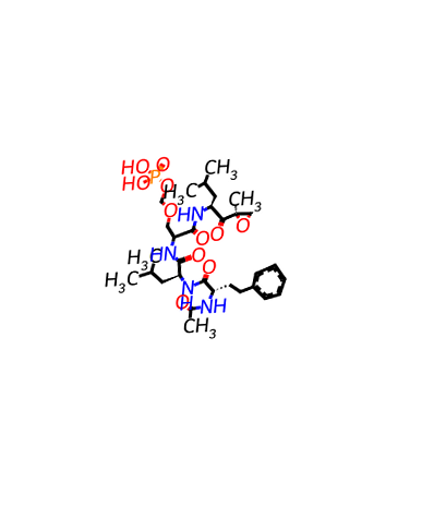 CC(=O)N[C@@H](CCc1ccccc1)C(=O)N[C@@H](CC(C)C)C(=O)NC(COCOP(=O)(O)O)C(=O)N[C@@H](CC(C)C)C(=O)[C@@]1(C)CO1